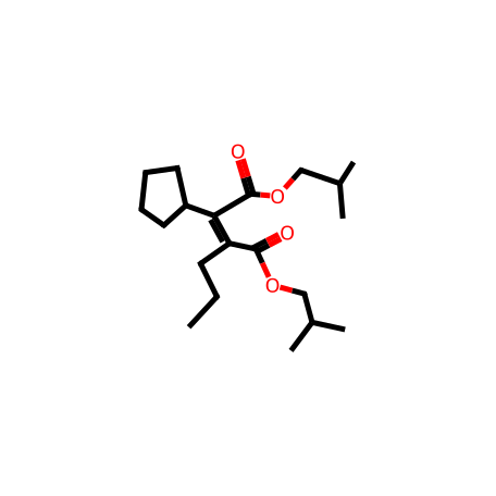 CCC/C(C(=O)OCC(C)C)=C(/C(=O)OCC(C)C)C1CCCC1